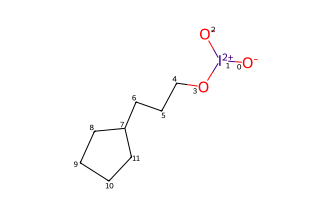 [O-][I+2]([O-])OCCCC1CCCC1